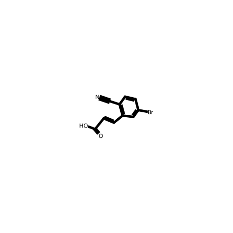 N#Cc1ccc(Br)cc1C=CC(=O)O